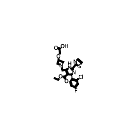 CCOC(=O)C1=C(CN2CC(OCC(=O)O)C2)NC(c2nccs2)=N[C@H]1c1ccc(F)cc1Cl